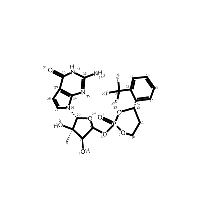 C[C@@]1(O)[C@H](O)C(OP2(=O)OCC[C@@H](c3ccccc3C(F)(F)F)O2)O[C@H]1n1ccc2c(=O)[nH]c(N)nc21